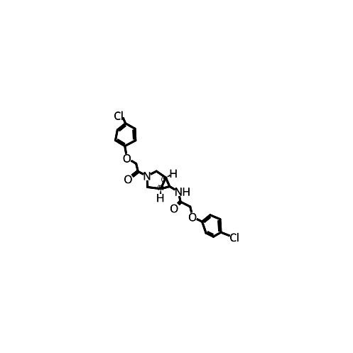 O=C(COc1ccc(Cl)cc1)NC1[C@H]2CN(C(=O)COc3ccc(Cl)cc3)C[C@@H]12